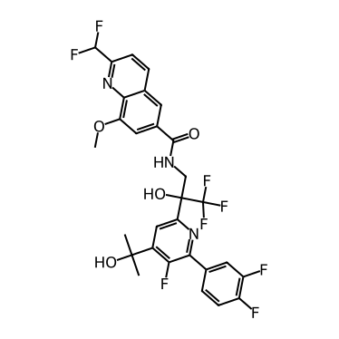 COc1cc(C(=O)NCC(O)(c2cc(C(C)(C)O)c(F)c(-c3ccc(F)c(F)c3)n2)C(F)(F)F)cc2ccc(C(F)F)nc12